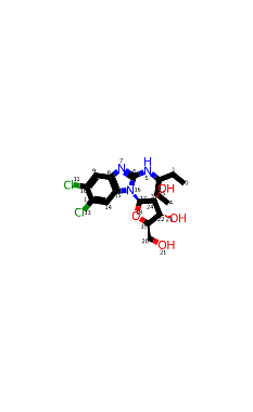 CCC(CC)Nc1nc2cc(Cl)c(Cl)cc2n1[C@@H]1O[C@H](CO)[C@@H](O)[C@H]1O